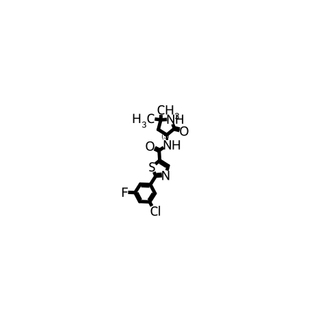 CC1(C)C[C@H](NC(=O)c2cnc(-c3cc(F)cc(Cl)c3)s2)C(=O)N1